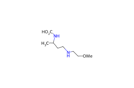 COCCNCCC(C)NC(=O)O